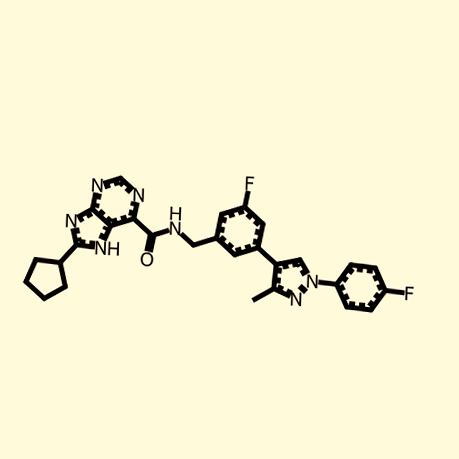 Cc1nn(-c2ccc(F)cc2)cc1-c1cc(F)cc(CNC(=O)c2ncnc3nc(C4CCCC4)[nH]c23)c1